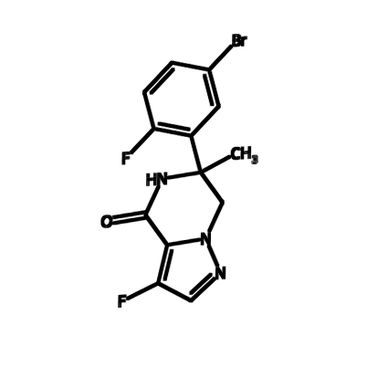 CC1(c2cc(Br)ccc2F)Cn2ncc(F)c2C(=O)N1